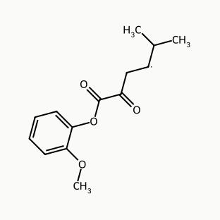 COc1ccccc1OC(=O)C(=O)C[CH]C(C)C